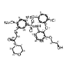 COc1ccc(Cl)c(Oc2c(NS(=O)(=O)c3ccc(OC)c(OCC(=O)N4CCOCC4)c3)ncnc2OCCO)c1